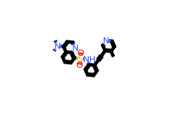 Cc1ccncc1C#Cc1ccccc1NS(=O)(=O)c1cccc2c(N(C)C)ccnc12